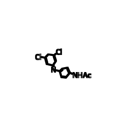 CC(=O)Nc1ccc(N=C2C=C(Cl)CC(Cl)=C2)cc1